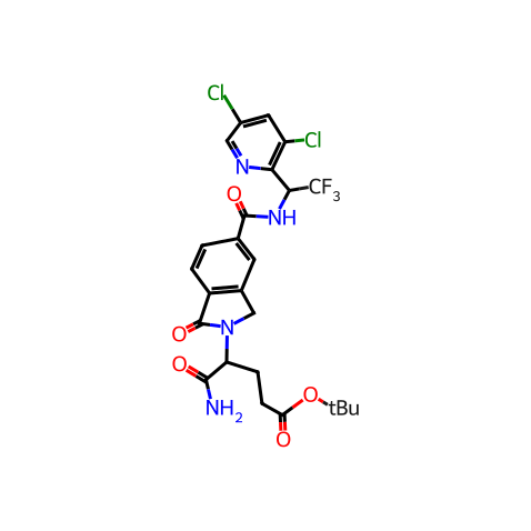 CC(C)(C)OC(=O)CCC(C(N)=O)N1Cc2cc(C(=O)NC(c3ncc(Cl)cc3Cl)C(F)(F)F)ccc2C1=O